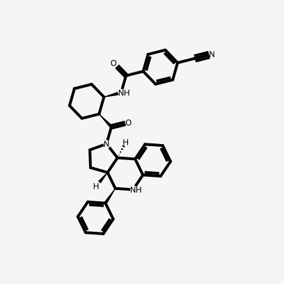 N#Cc1ccc(C(=O)N[C@@H]2CCCC[C@@H]2C(=O)N2CC[C@H]3[C@H](c4ccccc4)Nc4ccccc4[C@@H]32)cc1